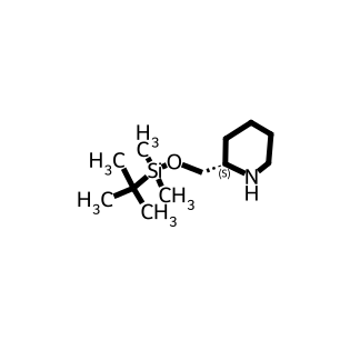 CC(C)(C)[Si](C)(C)OC[C@@H]1CCCCN1